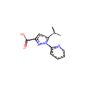 CC(C)c1cc(C(=O)O)nn1-c1ccccn1